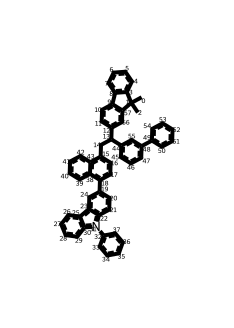 CC1(C)c2ccccc2-c2ccc(C(Cc3ccc(-c4ccc5c(c4)c4ccccc4n5-c4ccccc4)c4ccccc34)c3cccc(-c4ccccc4)c3)cc21